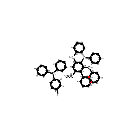 Fc1ccc([S+](c2ccccc2)c2ccccc2)cc1.O=C([O-])c1cc(Oc2ccccc2)c(Oc2ccccc2)c(Oc2ccccc2)c1-c1ccccc1